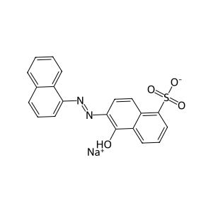 O=S(=O)([O-])c1cccc2c(O)c(N=Nc3cccc4ccccc34)ccc12.[Na+]